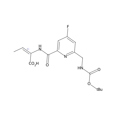 C/C=C(/NC(=O)c1cc(F)cc(CNC(=O)OC(C)(C)C)n1)C(=O)O